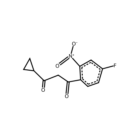 O=C(CC(=O)C1CC1)c1ccc(F)cc1[N+](=O)[O-]